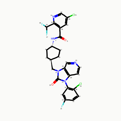 O=C(N[C@H]1CC[C@H](Cn2c(=O)n(-c3cc(F)ccc3Cl)c3ccncc32)CC1)c1cc(Cl)cnc1C(F)F